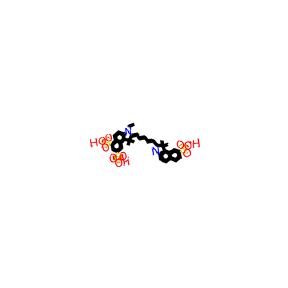 CCN1/C(=C/C=C/C=C/C2=Nc3ccc4ccc(S(=O)(=O)O)cc4c3C2(C)C)C(C)(C)c2c1ccc1c(S(=O)(=O)O)cc(S(=O)(=O)O)cc21